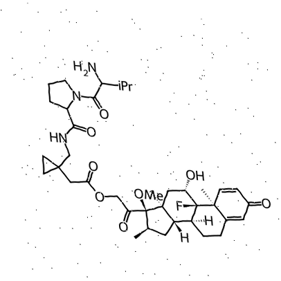 CO[C@]1(C(=O)COC(=O)CC2(CNC(=O)C3CCCN3C(=O)C(N)C(C)C)CC2)[C@H](C)C[C@H]2[C@@H]3CCC4=CC(=O)C=C[C@]4(C)[C@@]3(F)[C@@H](O)C[C@@]21C